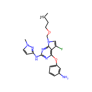 Cn1ccc(Nc2nc(Oc3cccc(N)c3)c3c(F)cn(COCC[SiH](C)C)c3n2)n1